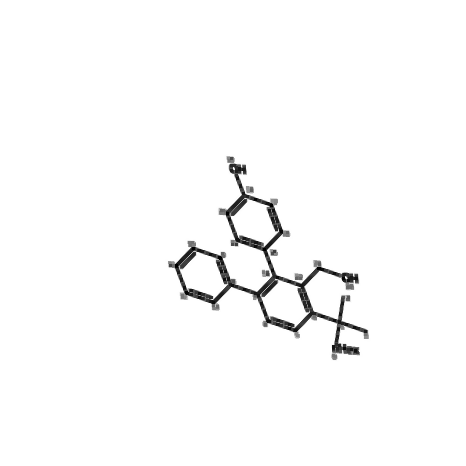 CCCCCCC(C)(C)c1ccc(-c2ccccc2)c(-c2ccc(O)cc2)c1CO